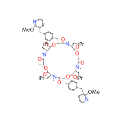 COc1ncccc1Cc1ccc(C[C@H]2OC(=O)[C@H](CC(C)C)N(C)C(=O)[C@@H](C)OC(=O)[C@H](CC(C)C)N(C)C(=O)[C@@H](Cc3ccc(Cc4cccnc4OC)cc3)OC(=O)[C@H](CC(C)C)N(C)C(=O)[C@@H](C)OC(=O)[C@H](CC(C)C)N(C)C2=O)cc1